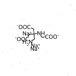 NCC(CC(=O)[O-])(CC(=O)[O-])NCC(=O)[O-].[Na+].[Na+].[Na+]